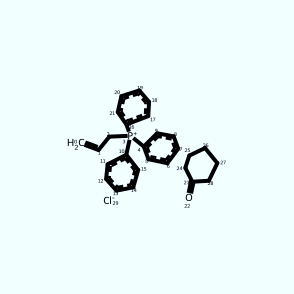 C=CC[P+](c1ccccc1)(c1ccccc1)c1ccccc1.O=C1CCCCC1.[Cl-]